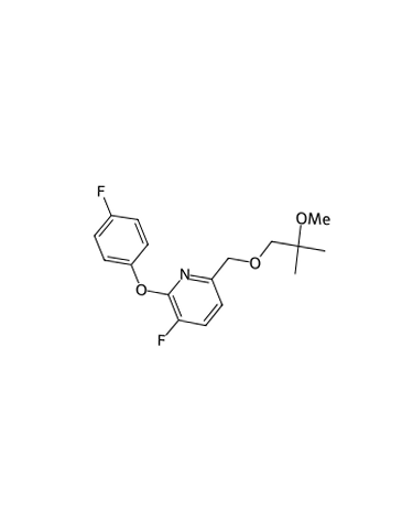 COC(C)(C)COCc1ccc(F)c(Oc2ccc(F)cc2)n1